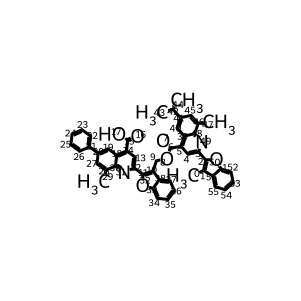 Cc1c(-c2cc(C(=O)OCc3c(-c4cc(C(=O)O)c5cc(-c6ccccc6)cc(C)c5n4)oc4ccccc34)c3cc(C(C)C)cc(C)c3n2)oc2ccccc12